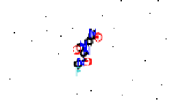 CN1Cc2cc(N3CCOc4cc(C(=O)N5CCC[C@@H](F)C5)cnc43)ccc2C1=O